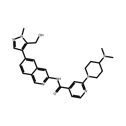 CN(C)C1CCN(c2cc(C(=O)Nc3cc4cc(-c5cnn(C)c5CO)ccc4cn3)ccn2)CC1